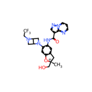 C[C@]1(CO)Cc2cc(NC(=O)c3cnn4cccnc34)c(N3CC4C3CN4CC(F)(F)F)cc2O1